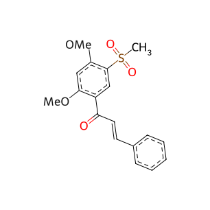 COc1cc(OC)c(S(C)(=O)=O)cc1C(=O)C=Cc1ccccc1